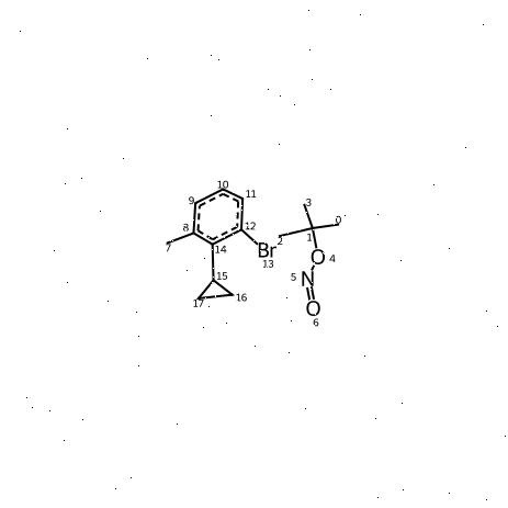 CC(C)(C)ON=O.Cc1cccc(Br)c1C1CC1